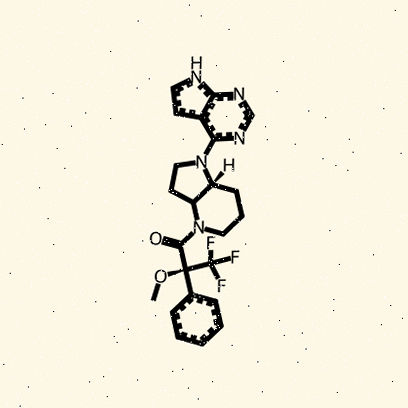 CO[C@](C(=O)N1CCC[C@@H]2C1CCN2c1ncnc2[nH]ccc12)(c1ccccc1)C(F)(F)F